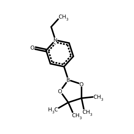 CCn1ccc(B2OC(C)(C)C(C)(C)O2)cc1=O